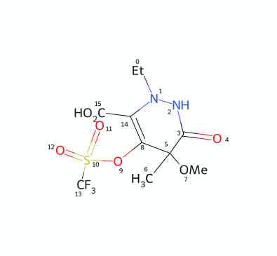 CCN1NC(=O)C(C)(OC)C(OS(=O)(=O)C(F)(F)F)=C1C(=O)O